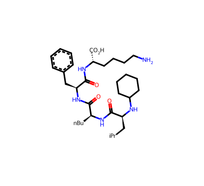 CCCC[C@H](NC(=O)[C@H](CC(C)C)NC1CCCCC1)C(=O)N[C@@H](Cc1ccccc1)C(=O)N[C@@H](CCCCN)C(=O)O